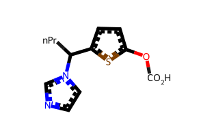 CCCC(c1ccc(OC(=O)O)s1)n1ccnc1